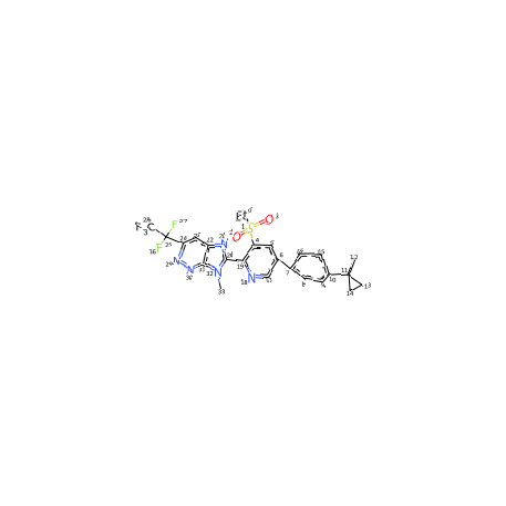 CCS(=O)(=O)c1cc(-c2ccc(C3(C)CC3)cc2)cnc1-c1nc2cc(C(F)(F)C(F)(F)F)nnc2n1C